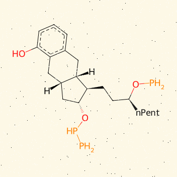 CCCCC[C@@H](CC[C@@H]1[C@H]2Cc3cccc(O)c3C[C@H]2C[C@H]1OPP)OP